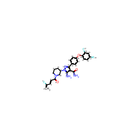 C=C(F)/C=C/C(=O)N1CCC[C@@H](n2nc(-c3ccc(Oc4ccc(F)cc4F)cc3)c(C(N)=O)c2N)C1